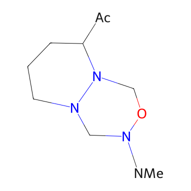 CNN1CN2CCCC(C(C)=O)N2CO1